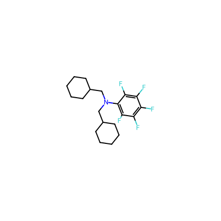 Fc1c(F)c(F)c(N(CC2CCCCC2)CC2CCCCC2)c(F)c1F